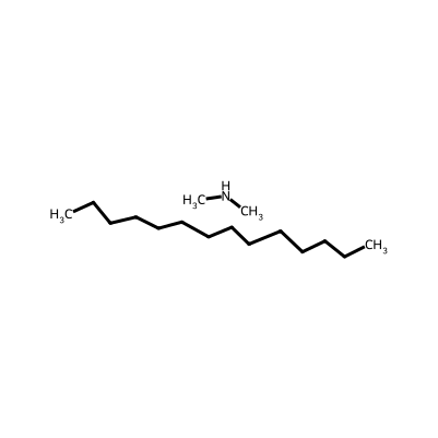 CCCCCCCCCCCCCC.CNC